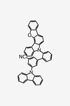 N#Cc1cc(-c2ccccc2-n2c3ccccc3c3c4oc5ccccc5c4ccc32)cc(-n2c3ccccc3c3ccccc32)c1